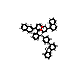 c1cc(-c2cccc3ccccc23)cc(N(c2ccc(-c3cccc4c3oc3ccccc34)cc2)c2ccccc2-c2ccccc2-c2ccc3ccccc3c2)c1